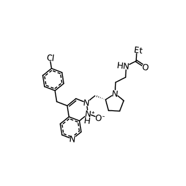 CCC(=O)NCCN1CCC[C@@H]1CN1C=C(Cc2ccc(Cl)cc2)c2ccncc2[NH+]1[O-]